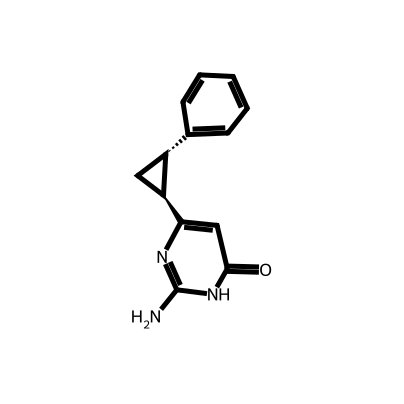 Nc1nc([C@H]2C[C@@H]2c2ccccc2)cc(=O)[nH]1